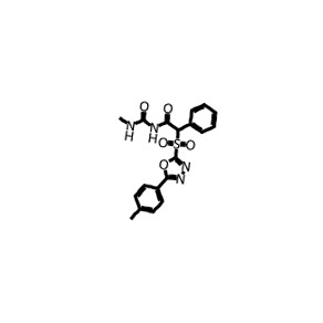 CNC(=O)NC(=O)C(c1ccccc1)S(=O)(=O)c1nnc(-c2ccc(C)cc2)o1